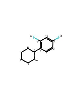 Fc1ccc([C]2CCCCC2)c(F)c1